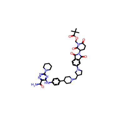 CC(C)(C)C(=O)OCN1C(=O)CCC(N2C(=O)c3ccc(N4CCC(CN5CCC(c6ccc(Nc7nc(N8CCCCC8)nnc7C(N)=O)cc6)CC5)C4)cc3C2=O)C1=O